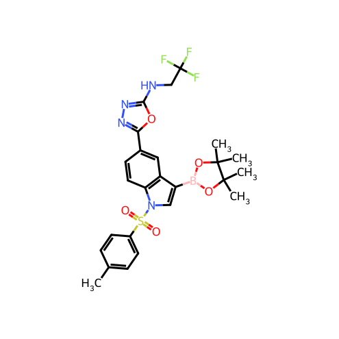 Cc1ccc(S(=O)(=O)n2cc(B3OC(C)(C)C(C)(C)O3)c3cc(-c4nnc(NCC(F)(F)F)o4)ccc32)cc1